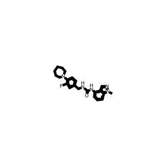 Cn1ncc2c(NC(=O)NCc3ccc(N4CCCCCC4)c(F)c3)cccc21